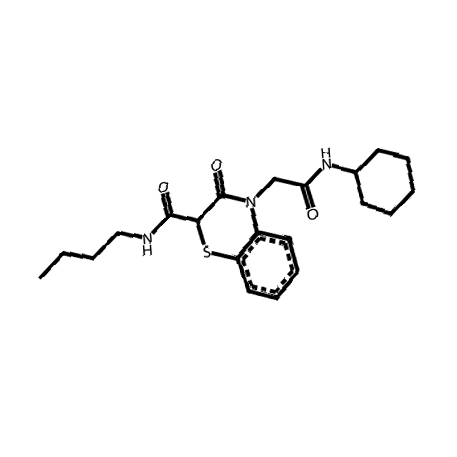 CCCCNC(=O)C1Sc2ccccc2N(CC(=O)NC2CCCCC2)C1=O